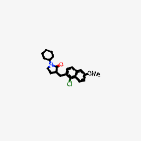 COc1ccc2c(Cl)c(CC3CCN(C4CCCCC4)C3=O)ccc2c1